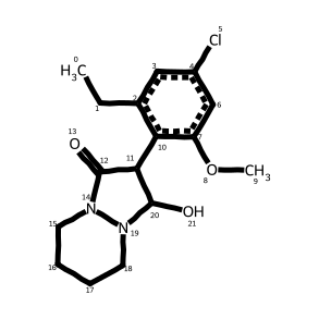 CCc1cc(Cl)cc(OC)c1C1C(=O)N2CCCCN2C1O